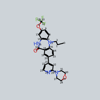 CCCN1c2ccc(OC(F)(F)F)cc2NC(=O)c2cc(-c3ccnc(N4CCOCC4)c3)ccc21